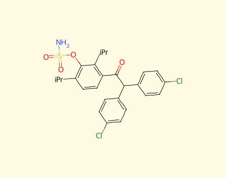 CC(C)c1ccc(C(=O)C(c2ccc(Cl)cc2)c2ccc(Cl)cc2)c(C(C)C)c1OS(N)(=O)=O